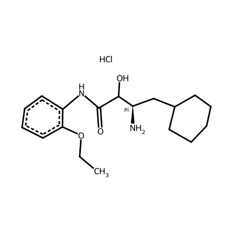 CCOc1ccccc1NC(=O)C(O)[C@H](N)CC1CCCCC1.Cl